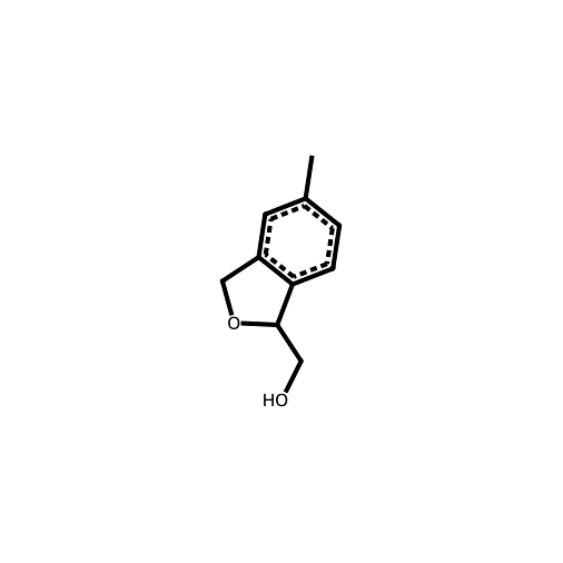 Cc1ccc2c(c1)COC2CO